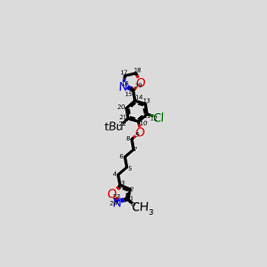 Cc1cc(CCCCCOc2c(Cl)cc(C3=NCCO3)cc2C(C)(C)C)on1